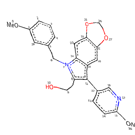 COc1cccc(Cn2c(CO)c(-c3ccc(OC)nc3)c3cc4c(cc32)OCO4)c1